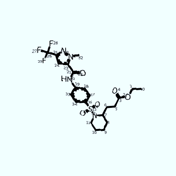 CCOC(=O)CCC1CCCCN1S(=O)(=O)c1ccc(NC(=O)c2cc(C(F)(F)F)nn2C)cc1